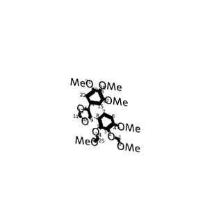 COCOc1c(OC)ccc([C@@H]2OCO[C@H]2c2cc(OC)c(OC)c(OC)c2)c1OCOC